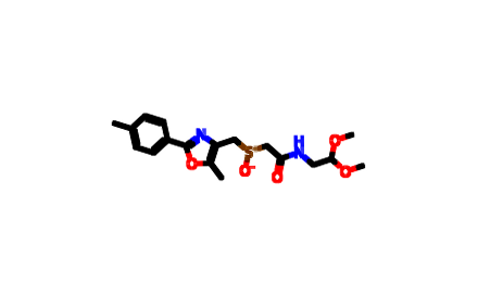 COC(CNC(=O)C[S+]([O-])Cc1nc(-c2ccc(C)cc2)oc1C)OC